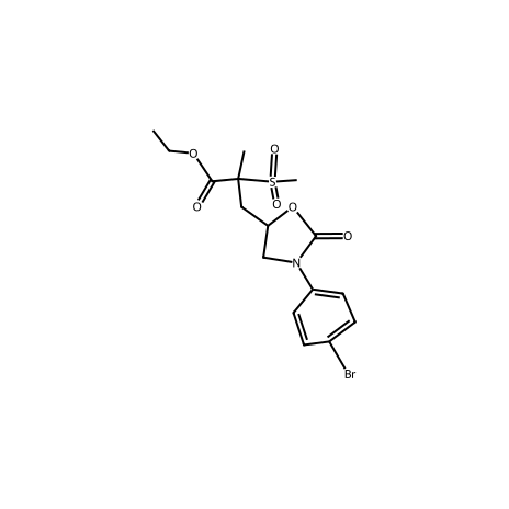 CCOC(=O)C(C)(CC1CN(c2ccc(Br)cc2)C(=O)O1)S(C)(=O)=O